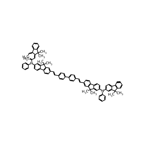 C=C(/C=C1\C(=C/C)c2ccccc2C1(C)C)N(c1ccccc1)c1ccc2c(c1)C(C)(C)c1cc(/C=C/c3ccc(-c4ccc(/C=C/c5ccc6c(c5)C(C)(C)c5cc(N(c7ccccc7)c7ccc8c(c7)C(C)(C)c7ccc#cc7-8)ccc5-6)cc4)cc3)ccc1-2